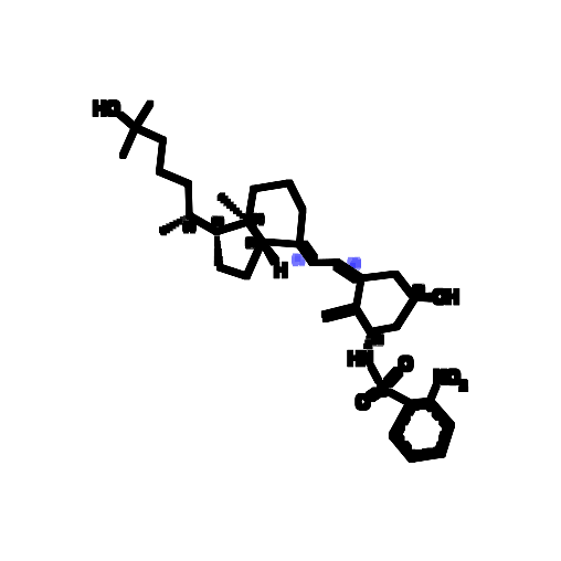 C=C1/C(=C\C=C2/CCC[C@]3(C)[C@@H]([C@H](C)CCCC(C)(C)O)CC[C@@H]23)C[C@@H](O)C[C@@H]1NS(=O)(=O)c1ccccc1[N+](=O)[O-]